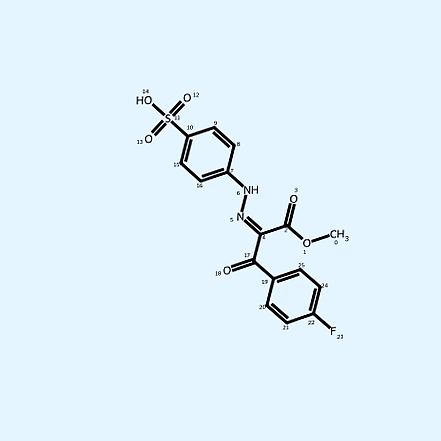 COC(=O)C(=NNc1ccc(S(=O)(=O)O)cc1)C(=O)c1ccc(F)cc1